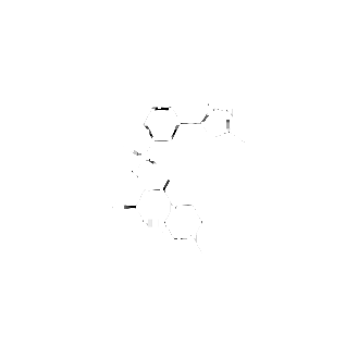 Cc1nnc(-c2cccc(S(=O)(=O)N[C@@H](C(N)=O)C(=O)N3CCN(C)CC3)c2)o1